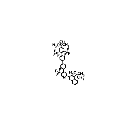 CC(C)(C)c1cc(-c2cc(-c3ccc(-c4ccc(-c5c(C(F)(F)F)cc([Si](C)(C)C)cc5C(F)(F)F)cc4)cc3)c(C(F)(F)F)cn2)cc2ccccc12